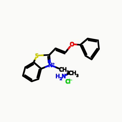 CN.C[n+]1c(C=COc2ccccc2)sc2ccccc21.[Cl-]